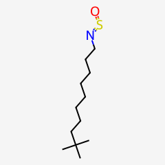 CC(C)(C)CCCCCCCCN=S=O